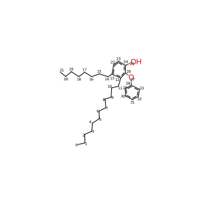 CCCCCCCCCCCCc1c(CCCCCCCC)ccc(O)c1Oc1ccccc1